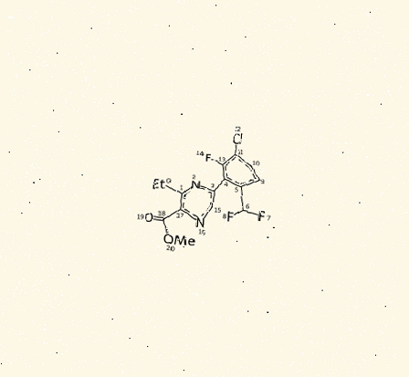 CCc1nc(-c2c(C(F)F)ccc(Cl)c2F)cnc1C(=O)OC